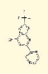 FC(F)(F)c1cc2c(Cl)nc(-c3cnccn3)nc2s1